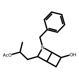 CC(=O)OC(C)CC1C2CC(O)C2N1Cc1ccccc1